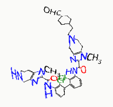 Cn1c(C(=O)Nc2cccc(-c3cccc(NC(=O)c4nc5c(n4C)CCN(CCC4CCC(C=O)CC4)C5)c3Cl)c2Cl)nc2c1CCNC2